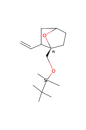 C=CC1CC2CC[C@@]1(CO[Si](C)(C)C(C)(C)C)O2